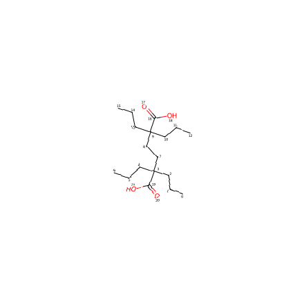 CCCC(CCC)(CCC(CCC)(CCC)C(=O)O)C(=O)O